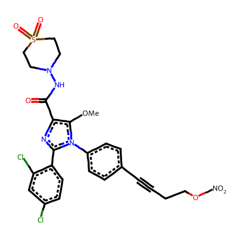 COc1c(C(=O)NN2CCS(=O)(=O)CC2)nc(-c2ccc(Cl)cc2Cl)n1-c1ccc(C#CCCO[N+](=O)[O-])cc1